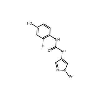 CC(C)n1cc(NC(=O)Nc2ccc(O)cc2F)cn1